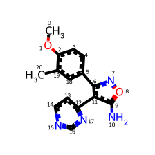 COc1ccc(-c2noc(N)c2-c2ccncn2)cc1C